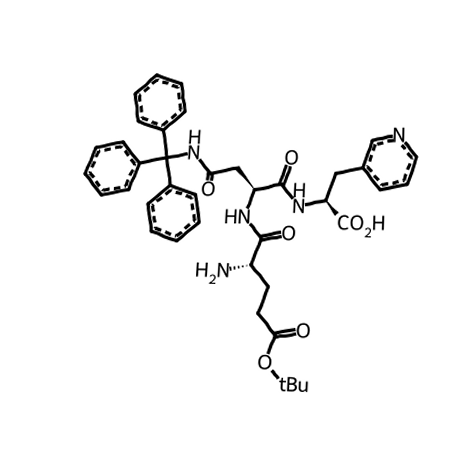 CC(C)(C)OC(=O)CC[C@H](N)C(=O)N[C@@H](CC(=O)NC(c1ccccc1)(c1ccccc1)c1ccccc1)C(=O)N[C@@H](Cc1cccnc1)C(=O)O